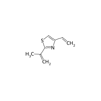 C=Cc1csc(C(=C)C)n1